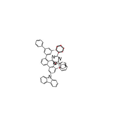 c1ccc(-c2cc(-c3ccccc3)cc(-c3cccc(-c4cc(-n5c6ccccc6c6ccccc65)cc5c4oc4ccccc45)c3-c3nc(-c4ccccc4)nc(-c4ccccc4)n3)c2)cc1